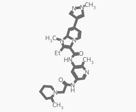 CCC1=C(C(=O)Nc2cc(NC(=O)CN3CCCCC3C)cnc2C)N2C=CC(c3cnn(C)c3)=CC2N1C